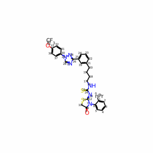 CCCc1ccccc1N1C(=O)CS/C1=N\C(=S)NCCCCc1cccc(-c2ncn(-c3ccc(OC(F)(F)F)cc3)n2)c1